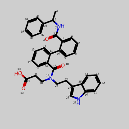 CC(NC(=O)c1ccccc1-c1ccccc1C(=O)N(CCC(=O)O)CCc1c[nH]c2ccccc12)c1ccccc1